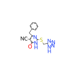 N#Cc1c(Cc2ccccc2)nc(SCc2nnn[nH]2)[nH]c1=O